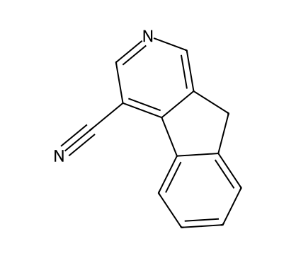 N#Cc1cncc2c1-c1ccccc1C2